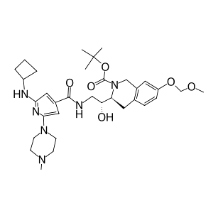 COCOc1ccc2c(c1)CN(C(=O)OC(C)(C)C)[C@H]([C@H](O)CNC(=O)c1cc(NC3CCC3)nc(N3CCN(C)CC3)c1)C2